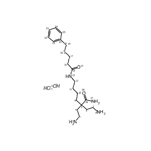 Cl.Cl.NCCC(CCN)(CCCCNC(=O)CCSSc1ccccc1)C(N)=O